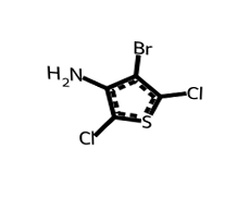 Nc1c(Cl)sc(Cl)c1Br